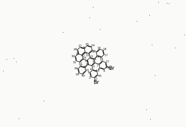 Brc1ccc(-c2c(-c3ccc(Br)cc3)c(-c3ccccc3)c3c4cccc5ccc6cccc(c3c2-c2ccccc2)c6c54)cc1